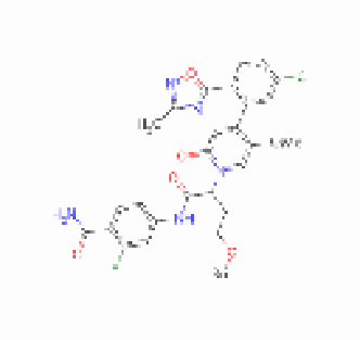 COc1cn(C(CCOC(C)(C)C)C(=O)Nc2ccc(C(N)=O)c(F)c2)c(=O)cc1-c1cc(Cl)ccc1-c1nc(C)no1